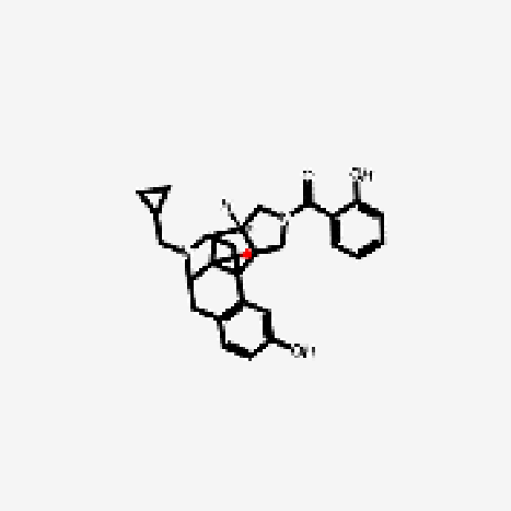 O=C(c1ccccc1O)N1C[C@H]2CC34CCC1C2C31CCN(CC2CC2)C4Cc2ccc(O)cc21